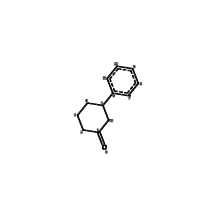 O=C1CCCC(c2[c]cccc2)C1